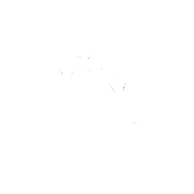 O=C1Nc2ccccc2C1=CNc1ccc(OCCN2CCC(F)C2)cc1